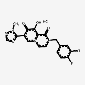 Cl.Cn1ncnc1-c1cn2ccn(Cc3ccc(F)c(Cl)c3)c(=O)c2c(O)c1=O